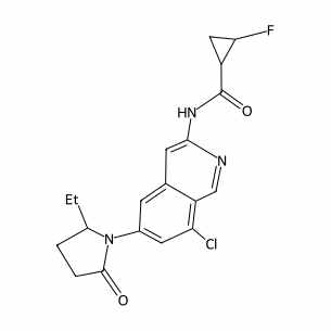 CCC1CCC(=O)N1c1cc(Cl)c2cnc(NC(=O)C3CC3F)cc2c1